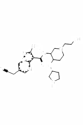 CCCN1CCC(O[C@H]2CCNC2)C(NC(=O)c2c(N)nn3cc(CC#N)cnc23)C1